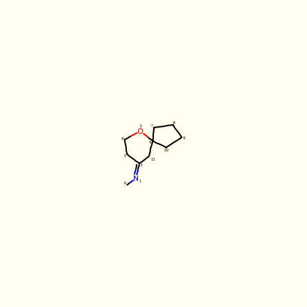 C/N=C1\CCOC2(CCCC2)C1